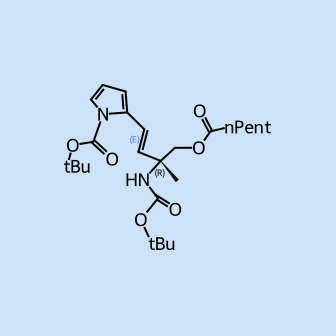 CCCCCC(=O)OC[C@@](C)(/C=C/c1cccn1C(=O)OC(C)(C)C)NC(=O)OC(C)(C)C